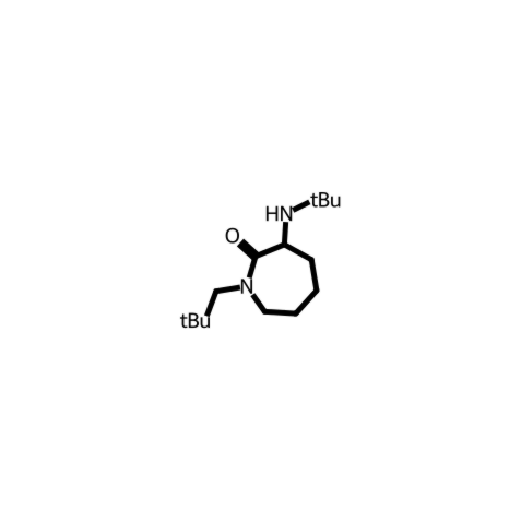 CC(C)(C)CN1CCCCC(NC(C)(C)C)C1=O